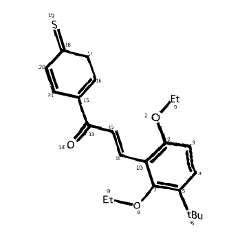 CCOc1ccc(C(C)(C)C)c(OCC)c1C=CC(=O)C1=CCC(=S)C=C1